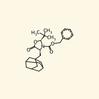 CC(C)(C)[C@@H]1OC(=O)[C@H](CC23CC4CC(CC(C4)C2)C3)N1C(=O)OCc1ccccc1